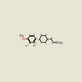 CCOc1ccc([C@H]2CC[C@H](CCC=O)CC2)c(F)c1F